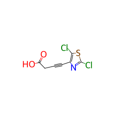 O=C(O)CC#Cc1nc(Cl)sc1Cl